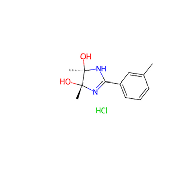 Cc1cccc(C2=N[C@](C)(O)[C@@](C)(O)N2)c1.Cl